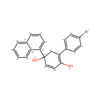 OC1=C(c2ccc(Br)cc2)CC(O)(c2cccc3ccccc23)C=C1